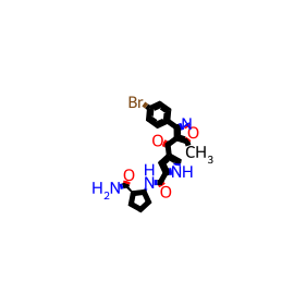 Cc1onc(-c2ccc(Br)cc2)c1C(=O)c1c[nH]c(C(=O)N[C@H]2CCC[C@H]2C(N)=O)c1